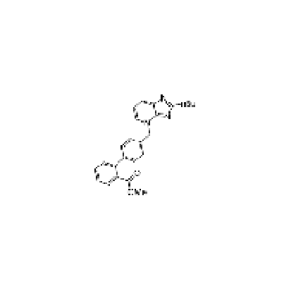 CCCCc1nc2cccn(Cc3ccc(-c4ccccc4C(=O)OC)cc3)c-2n1